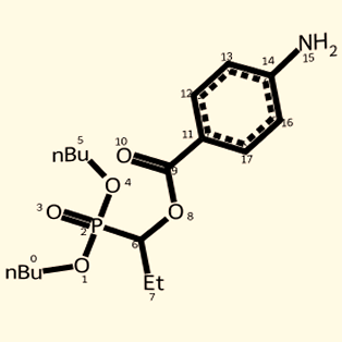 CCCCOP(=O)(OCCCC)C(CC)OC(=O)c1ccc(N)cc1